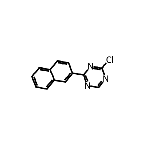 Clc1ncnc(-c2ccc3ccccc3c2)n1